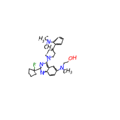 CN(C)c1ccccc1C1CCN(c2nc(C3(F)CCCC3)nc3ccc(N(C)CCO)cc23)CC1